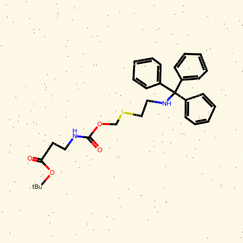 CC(C)(C)OC(=O)CCNC(=O)OCSCCNC(c1ccccc1)(c1ccccc1)c1ccccc1